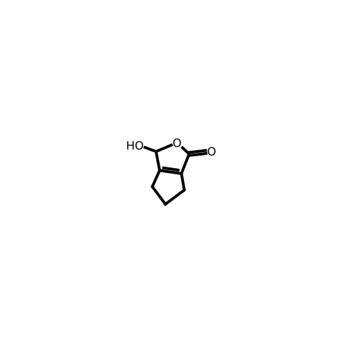 O=C1OC(O)C2=C1CCC2